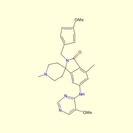 COc1ccc(CN2C(=O)c3c(C)cc(Nc4ncncc4OC)cc3C23CCN(C)CC3)cc1